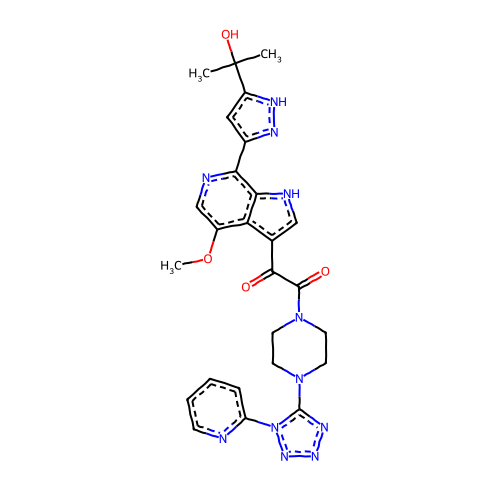 COc1cnc(-c2cc(C(C)(C)O)[nH]n2)c2[nH]cc(C(=O)C(=O)N3CCN(c4nnnn4-c4ccccn4)CC3)c12